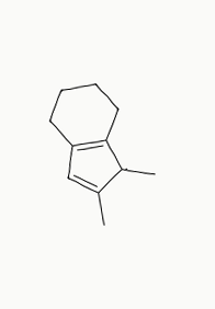 C[C]1C(C)=CC2=C1CCCC2